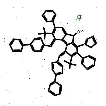 CC(C)(C)c1c(-c2ccccc2)cc2c(c1=Cc1ccc(-c3ccccc3)cc1)=c1c(c(C3=CC=CC3)c(-c3ccccc3)c(C(C)(C)C)c1=Cc1ccc(-c3ccccc3)cc1)[CH]2[Zr+2].[Cl-].[Cl-]